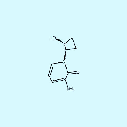 Nc1cccn([C@@H]2CC[C@@H]2O)c1=O